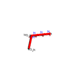 CCC(=O)NCCOCCOCCC(=O)NCCOCCOCCC(=O)NCCCCC(NC(=O)CCCCCCCCCCCCCCCCC(=O)O)C(=O)O